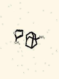 Cc1ccco1.NC12CC3CC(CC(C3)C1)C2